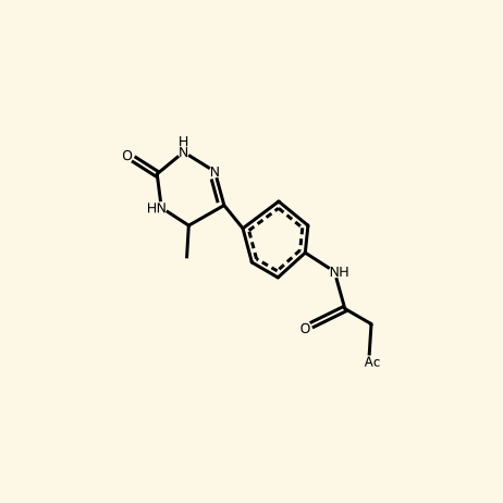 CC(=O)CC(=O)Nc1ccc(C2=NNC(=O)NC2C)cc1